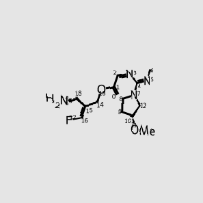 C=C(/C=N\C(=N/C)N1CC[C@H](OC)C1)OC/C(=C/F)CN